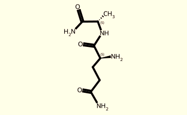 C[C@H](NC(=O)[C@@H](N)CCC(N)=O)C(N)=O